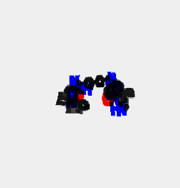 CCN(CC)[C@@H](C(=O)N1CCC[C@H]1c1ncc(-c2ccc(-c3ccc(-c4cnc([C@@H]5CCCN5C(=O)[C@H](Cc5cccnc5)NC(=O)OC)[nH]4)cc3)cc2)[nH]1)c1ccccc1